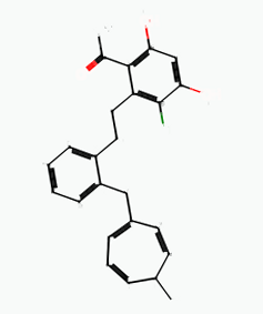 COC(=O)c1c(O)cc(O)c(Cl)c1CCc1ccccc1CC1=CC=CC(C)C=C1